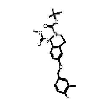 COC(=O)[C@H]1c2ccc(OCc3ccc(F)c(C)c3)cc2CCN1C(=O)OC(C)(C)C